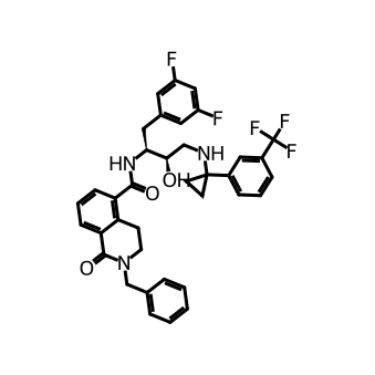 O=C(N[C@@H](Cc1cc(F)cc(F)c1)[C@H](O)CNC1(c2cccc(C(F)(F)F)c2)CC1)c1cccc2c1CCN(Cc1ccccc1)C2=O